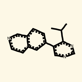 CC(C)c1ncncc1-c1ccc2cnccc2c1